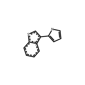 C1=C[N]C(c2csc3ccccc23)=C1